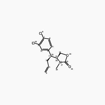 C=CC[C@@H](c1ccc(Cl)c(Cl)c1)[C@H]1COC(=O)N1C